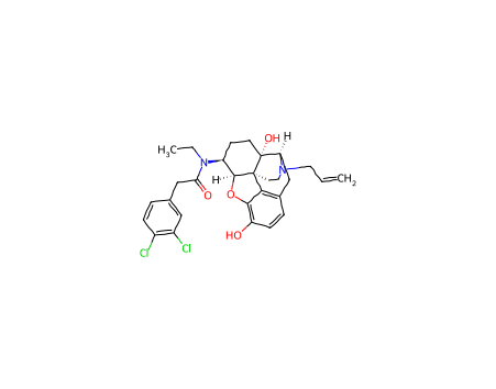 C=CCN1CC[C@]23c4c5ccc(O)c4O[C@H]2[C@@H](N(CC)C(=O)Cc2ccc(Cl)c(Cl)c2)CC[C@@]3(O)[C@H]1C5